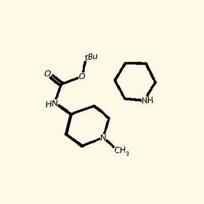 C1CCNCC1.CN1CCC(NC(=O)OC(C)(C)C)CC1